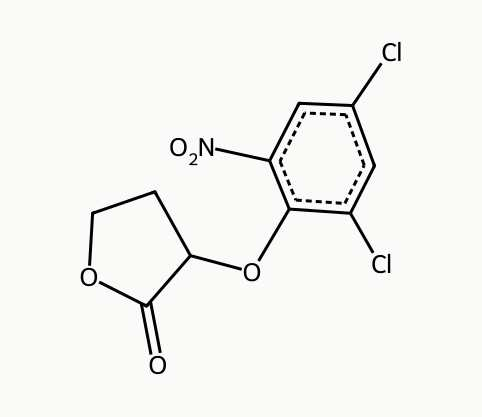 O=C1OCCC1Oc1c(Cl)cc(Cl)cc1[N+](=O)[O-]